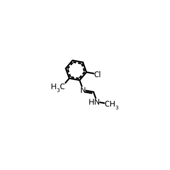 CNC=Nc1c(C)cccc1Cl